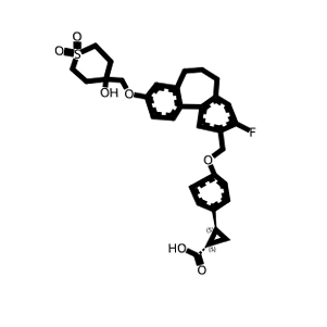 O=C(O)[C@H]1C[C@@H]1c1ccc(OCc2cc3c(cc2F)CCCc2cc(OCC4(O)CCS(=O)(=O)CC4)ccc2-3)cc1